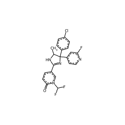 CC1NC(c2ccc(=O)n(C(F)F)c2)=NC1(c1ccc(Cl)cc1)c1ccnc(F)c1